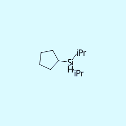 CC(C)[SiH](C(C)C)C1CCCC1